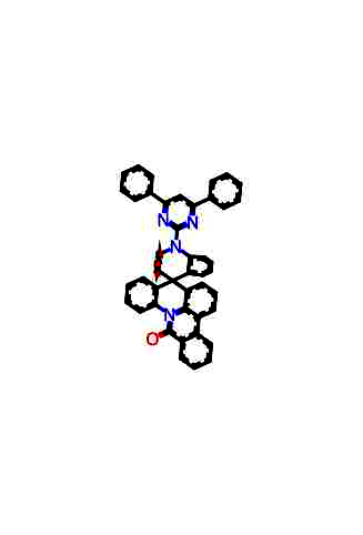 O=c1c2ccccc2c2cccc3c2n1-c1ccccc1C31c2ccccc2N(c2nc(-c3ccccc3)cc(-c3ccccc3)n2)c2ccccc21